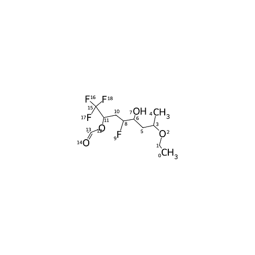 CCOC(C)CC(O)C(F)CC(O[C]=O)C(F)(F)F